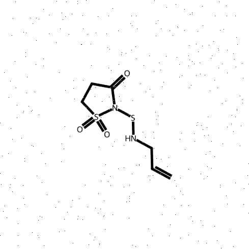 C=CCNSN1C(=O)CCS1(=O)=O